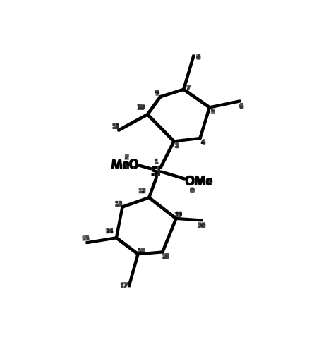 CO[Si](OC)(C1CC(C)C(C)CC1C)C1CC(C)C(C)CC1C